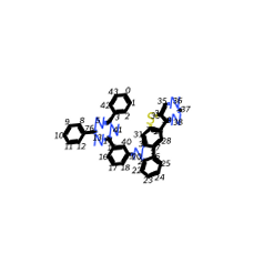 c1ccc(-c2nc(-c3ccccc3)nc(-c3cccc(-n4c5ccccc5c5cc6c(cc54)sc4cncnc46)c3)n2)cc1